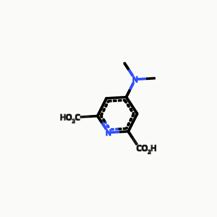 CN(C)c1cc(C(=O)O)nc(C(=O)O)c1